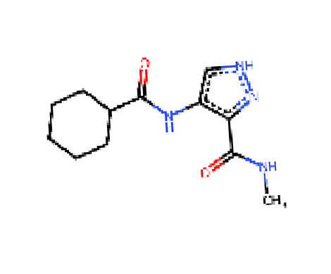 CNC(=O)c1n[nH]cc1NC(=O)C1CCCCC1